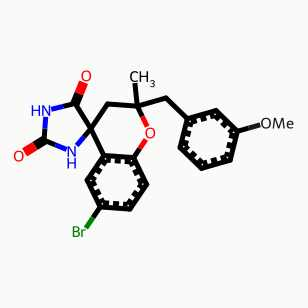 COc1cccc(CC2(C)CC3(NC(=O)NC3=O)c3cc(Br)ccc3O2)c1